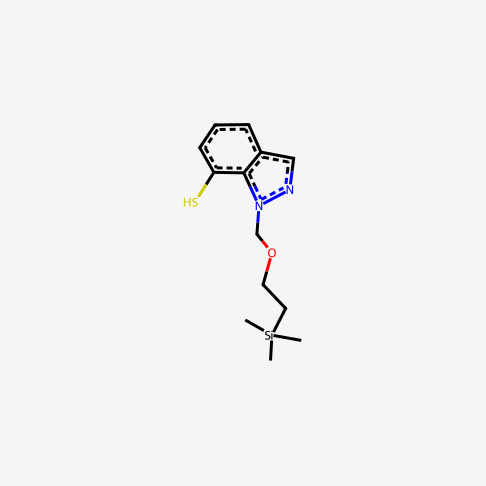 C[Si](C)(C)CCOCn1ncc2cccc(S)c21